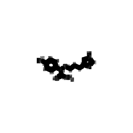 NC(=O)N(OCCCc1c[nH]cn1)c1ccc(Br)cc1